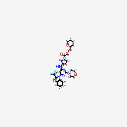 O=C(COCC1CCCCO1)N1CC[C@H](Nc2cc(-n3c(C(F)F)nc4ccccc43)nc(N3CCOCC3)n2)C1